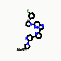 CN[C@@H]1CCN(c2cc(-c3cccc(-c4cnc5ccc(N6CCC[C@@H]6c6cccc(F)c6)nn45)n3)ccn2)C1